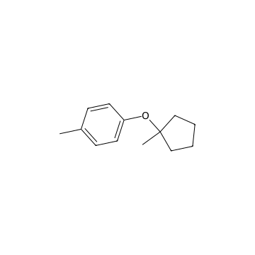 Cc1ccc(OC2(C)CCCC2)cc1